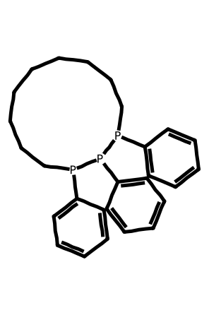 c1ccc(P2CCCCCCCCCP(c3ccccc3)P2c2ccccc2)cc1